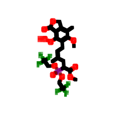 COC(=O)C(CC(C)=CCc1c(OC)c(C)c2c(c1OO)C(=O)OC2)P(=O)(OCC(F)(F)F)OCC(F)(F)F